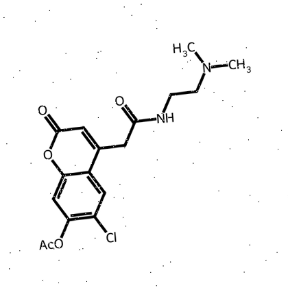 CC(=O)Oc1cc2oc(=O)cc(CC(=O)NCCN(C)C)c2cc1Cl